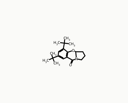 CC(C)(C)c1cc2c(c(C(C)(C)C)c1)OC1CCCN1C2=O